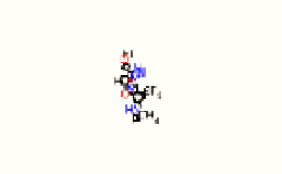 CCO[C@H]1C[C@@](c2cccc(N3Cc4c(cc(CNC5(C)CCC5)cc4C(F)(F)F)C3=O)c2)(c2nncn2C)C1